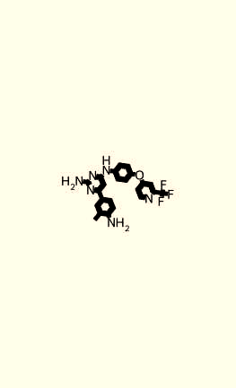 Cc1cc(-c2cc(Nc3ccc(Oc4ccnc(C(F)(F)F)c4)cc3)nc(N)n2)ccc1N